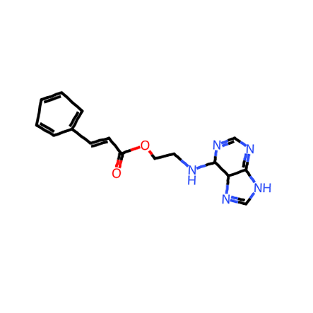 O=C(/C=C/c1ccccc1)OCCNC1N=CN=C2NC=NC21